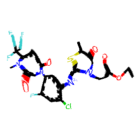 C=C1S/C(=N\c2cc(-n3c(=O)cc(C(F)(F)F)n(C)c3=O)c(F)cc2Cl)N(CC(=O)OCC)C1=O